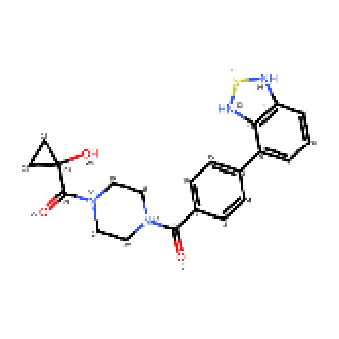 O=C(c1ccc(-c2cccc3c2NSN3)cc1)N1CCN(C(=O)C2(O)CC2)CC1